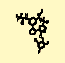 CCOC(=O)c1cc(NC(=O)C(F)(F)F)cc(C2=C(c3cc(C(F)(F)F)cnc3OCc3c(F)cc(F)cc3F)CCC2)c1